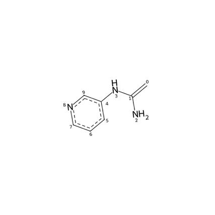 C=C(N)Nc1cccnc1